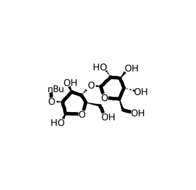 CCCCO[C@@H]1[C@@H](O)[C@H](O[C@H]2O[C@H](CO)[C@@H](O)[C@H](O)[C@H]2O)[C@@H](CO)O[C@H]1O